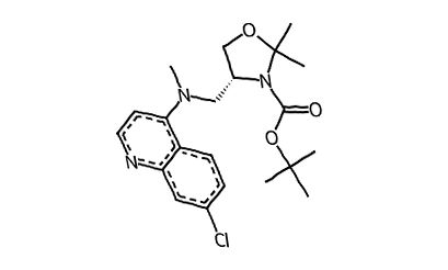 CN(C[C@@H]1COC(C)(C)N1C(=O)OC(C)(C)C)c1ccnc2cc(Cl)ccc12